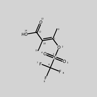 CC(OS(=O)(=O)C(F)(F)F)=C(C)C(=O)O